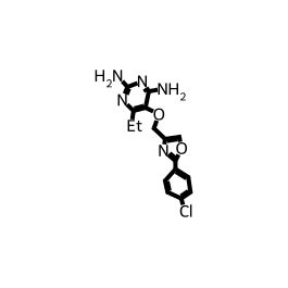 CCc1nc(N)nc(N)c1OCc1coc(-c2ccc(Cl)cc2)n1